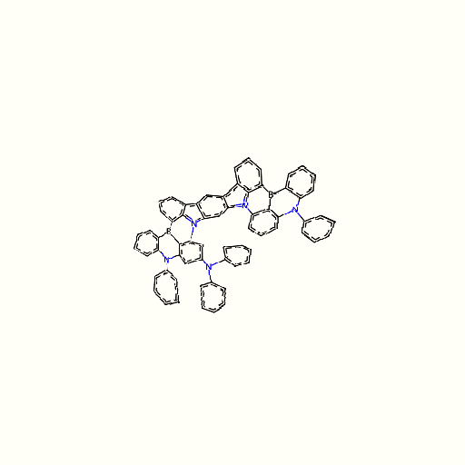 c1ccc(N(c2ccccc2)c2cc3c4c(c2)-n2c5cc6c(cc5c5cccc(c52)B4c2ccccc2N3c2ccccc2)c2cccc3c2n6-c2cccc4c2B3c2ccccc2N4c2ccccc2)cc1